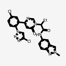 CCC(C(=O)Nc1ccc2nn(C)cc2c1)n1cnc(-c2cc(Cl)ccc2-n2cc(Cl)nn2)cc1=O